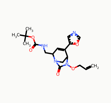 C=CCON1C(=O)N2CC1C(c1cnco1)=CC2CNC(=O)OC(C)(C)C